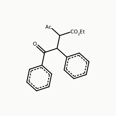 CCOC(=O)C(C(C)=O)C(C(=O)c1ccccc1)c1ccccc1